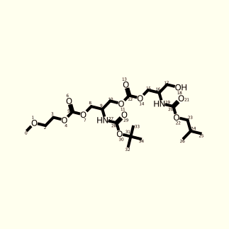 COCCOC(=O)OCC(COC(=O)OCC(CO)NC(=O)OCC(C)C)NC(=O)OC(C)(C)C